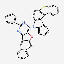 c1ccc(-c2nc(-n3c4ccccc4c4c5c(ccc43)sc3ccccc35)c3oc4cc5ccccc5cc4c3n2)cc1